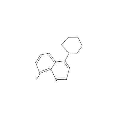 Fc1cccc2c(C3CC[CH]CC3)ccnc12